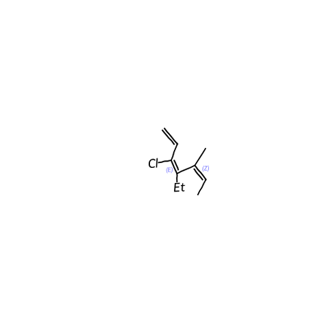 C=C/C(Cl)=C(CC)\C(C)=C/C